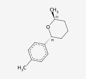 Cc1ccc([C@H]2CCC[C@H](C)O2)cc1